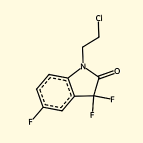 O=C1N(CCCl)c2ccc(F)cc2C1(F)F